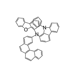 c1ccc(-n2c3ccccc3c3cccc(N(c4ccc5ccc6ccc7ccccc7c6c5c4)c4cccc5c4oc4ccccc45)c32)cc1